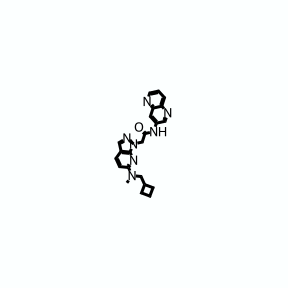 CN(CC1CCC1)c1ccc2cnn(CC(=O)Nc3cnc4cccnc4c3)c2n1